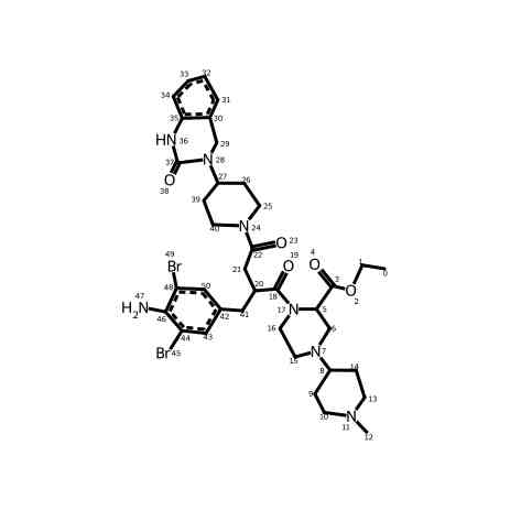 CCOC(=O)C1CN(C2CCN(C)CC2)CCN1C(=O)C(CC(=O)N1CCC(N2Cc3ccccc3NC2=O)CC1)Cc1cc(Br)c(N)c(Br)c1